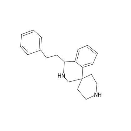 c1ccc(CCC2NCC3(CCNCC3)c3ccccc32)cc1